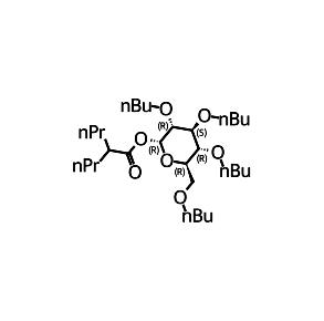 CCCCOC[C@H]1O[C@H](OC(=O)C(CCC)CCC)[C@H](OCCCC)[C@@H](OCCCC)[C@@H]1OCCCC